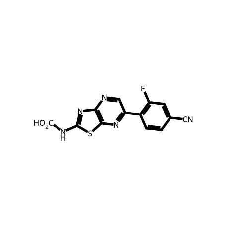 N#Cc1ccc(-c2cnc3nc(NC(=O)O)sc3n2)c(F)c1